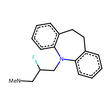 CNCC(F)CN1c2ccccc2CCc2ccccc21